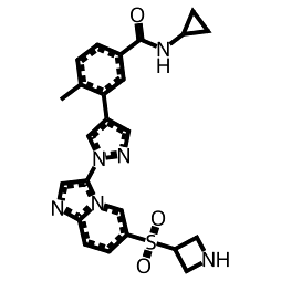 Cc1ccc(C(=O)NC2CC2)cc1-c1cnn(-c2cnc3ccc(S(=O)(=O)C4CNC4)cn23)c1